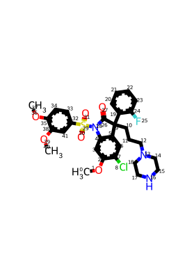 COc1cc2c(cc1Cl)C(CCCN1CCNCC1)(c1ccccc1F)C(=O)N2S(=O)(=O)c1ccc(OC)c(OC)c1